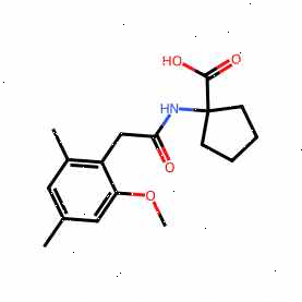 COc1cc(C)cc(C)c1CC(=O)NC1(C(=O)O)CCCC1